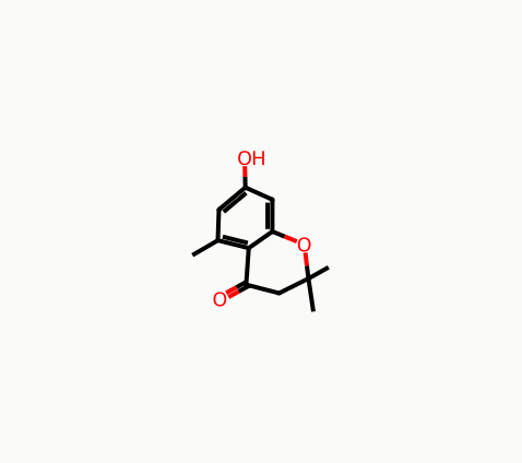 Cc1cc(O)cc2c1C(=O)CC(C)(C)O2